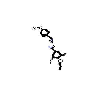 C=CCOc1c(F)cc(/C=N/N=C/c2ccc(OC)cc2)cc1F